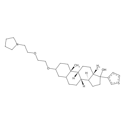 C[C@]12CCC(OCCOCCN3CCCC3)CC1CC[C@@H]1[C@H]2CC[C@@]2(C)[C@H]1CCC2(O)c1ccsc1